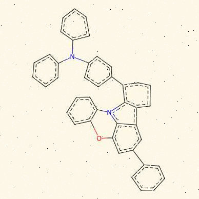 c1ccc(-c2cc3c4c(c2)c2cccc(-c5ccc(N(c6ccccc6)c6ccccc6)cc5)c2n4-c2ccccc2O3)cc1